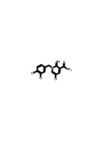 N=c1c(C(N)=O)cc(Cl)cn1Cc1ccc(Cl)c(Cl)c1